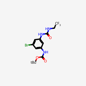 CC(C)(C)OC(=O)Nc1cc(Br)cc(NC(=O)NCC(F)(F)F)c1